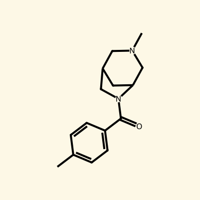 Cc1ccc(C(=O)N2CC3CC2CN(C)C3)cc1